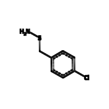 NSCc1ccc(Cl)cc1